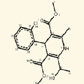 COC(=O)C1=C(C)NC(C(C)O)=C(C(=O)OC)C1c1ccccc1Cl